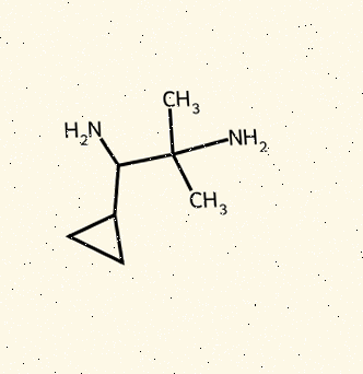 CC(C)(N)C(N)C1CC1